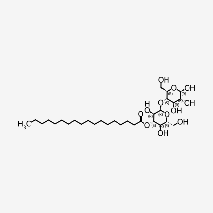 CCCCCCCCCCCCCCCCCC(=O)O[C@@H]1[C@@H](O)[C@@H](O[C@H]2[C@H](O)[C@@H](O)[C@H](O)O[C@@H]2CO)O[C@H](CO)[C@H]1O